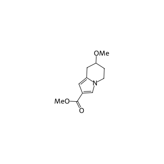 COC(=O)c1cc2n(c1)CCC(OC)C2